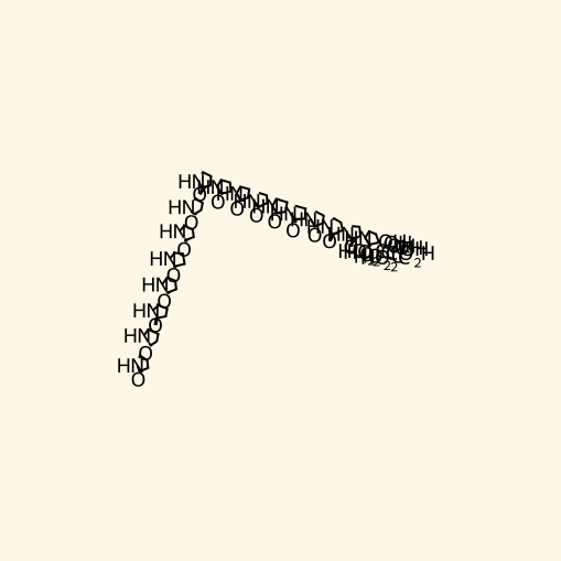 O=C(O)O.O=C(O)O.O=C(O)O.O=C(O)O.O=C(O)O.O=C1CCCN1.O=C1CCCN1.O=C1CCCN1.O=C1CCCN1.O=C1CCCN1.O=C1CCCN1.O=C1CCCN1.O=C1CCCN1.O=C1CCCN1.O=C1CCCN1.O=C1CCCN1.O=C1CCCN1.O=C1CCCN1.O=C1CCCN1.O=C1CCCN1.O=C1CCCN1.O=C1CCCN1